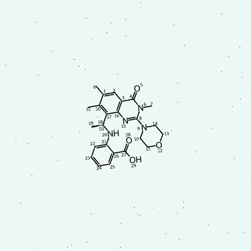 Cc1cc2c(=O)n(C)c(N3CCOCC3)nc2c([C@H](C)Nc2ccccc2C(=O)O)c1C